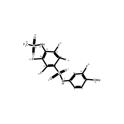 COc1ccc(NS(=O)(=O)c2c(F)c(F)c(NS(=O)(=O)C(F)(F)F)c(F)c2F)cc1F